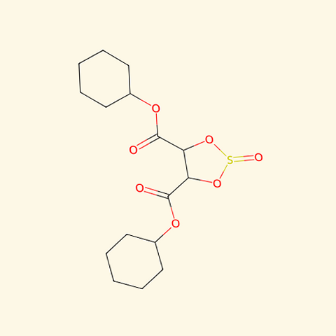 O=C(OC1CCCCC1)C1OS(=O)OC1C(=O)OC1CCCCC1